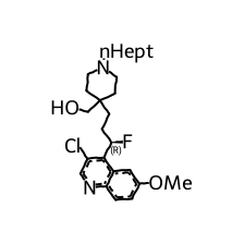 CCCCCCCN1CCC(CO)(CC[C@@H](F)c2c(Cl)cnc3ccc(OC)cc23)CC1